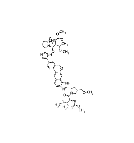 COC[C@H]1C[C@@H](c2nc3ccc4cc5c(cc4c3[nH]2)OCc2cc(-c3cnc([C@@H]4CC[C@H](C)N4C(=O)[C@@H](NC(=O)OC)[C@@H](C)OC)[nH]3)ccc2-5)N(C(=O)C(NC(=O)OC)[C@@H](C)OC)C1